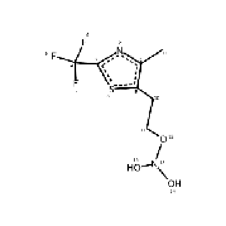 Cc1nc(C(F)(F)F)sc1CCON(O)O